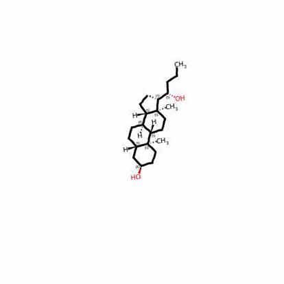 CCC[C@H](O)[C@H]1CC[C@H]2[C@@H]3CC[C@H]4C[C@H](O)CC[C@]4(C)[C@H]3CC[C@]12C